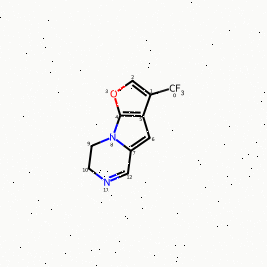 FC(F)(F)c1coc2c1cc1n2CCN=C1